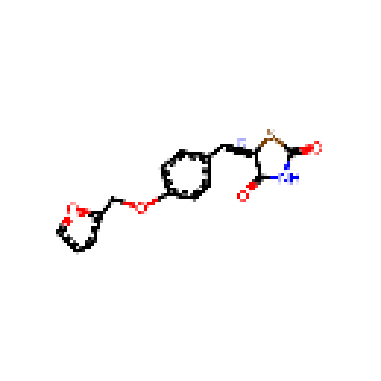 O=C1NC(=O)/C(=C\c2ccc(OCc3ccco3)cc2)S1